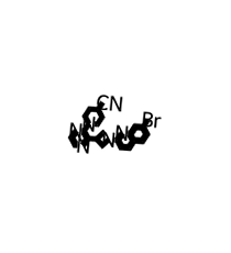 N#CC1CCN(c2nccnc2C2CN(c3ccc4ccc(Br)cc4n3)C2)CC1